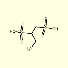 NCC(CS(=O)(=O)O)S(=O)(=O)O